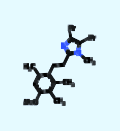 COc1cc(C)c(C=Cc2nc(C(C)C)c(C(C)C)n2C)c(C)c1C